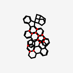 c1ccc(-n2c3ccccc3c3cccc(-c4ccccc4N(c4ccccc4-c4ccc5c(c4)C4(c6ccccc6-5)C5CC6CC7CC4C75C6)c4ccccc4-c4cccc5cccc(C6CCCCC6)c45)c32)cc1